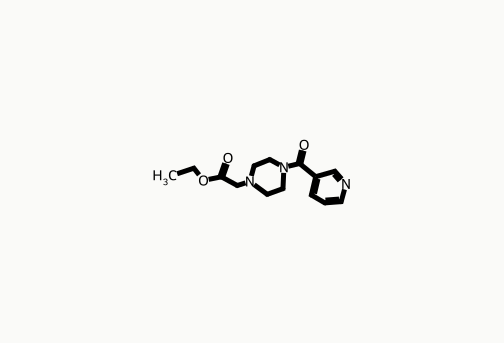 CCOC(=O)CN1CCN(C(=O)c2cccnc2)CC1